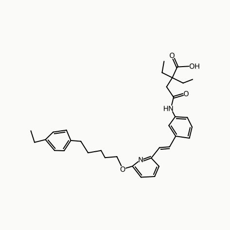 CCc1ccc(CCCCCOc2cccc(C=Cc3cccc(NC(=O)CC(CC)(CC)C(=O)O)c3)n2)cc1